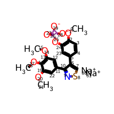 COc1ccc(-c2csnc2-c2cc(OC)c(OC)c(OC)c2)cc1OP(=O)([O-])[O-].[Na+].[Na+]